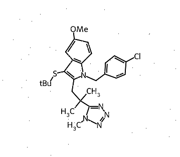 COc1ccc2c(c1)c(SC(C)(C)C)c(CC(C)(C)c1nnnn1C)n2Cc1ccc(Cl)cc1